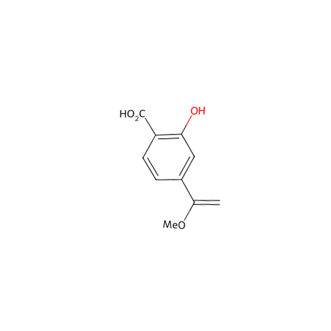 C=C(OC)c1ccc(C(=O)O)c(O)c1